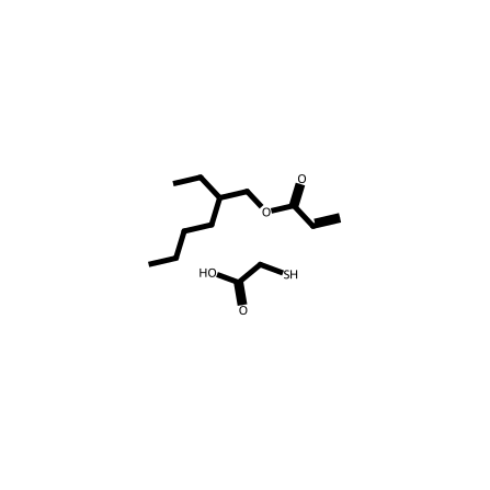 C=CC(=O)OCC(CC)CCCC.O=C(O)CS